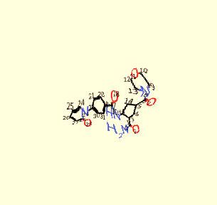 NC(=O)C1CC(C(=O)N2CCOCC2)CC1NC(=O)c1ccc(-n2ccccc2=O)cc1